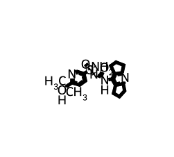 CC(C)(O)c1ccc([S@@](N)(=O)=NC(=O)Nc2c3c(nc4c2CCC4)CCC3)cn1